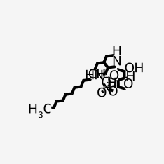 C1CC2CCNCC2CN1.CCCCCCCCCCC.O=[N+]([O-])O[C@@H]1CO[C@H]2[C@@H]1OC[C@@H]2O